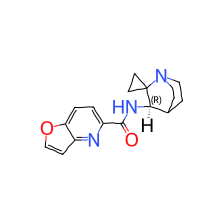 O=C(N[C@@H]1C2CCN(CC2)C12CC2)c1ccc2occc2n1